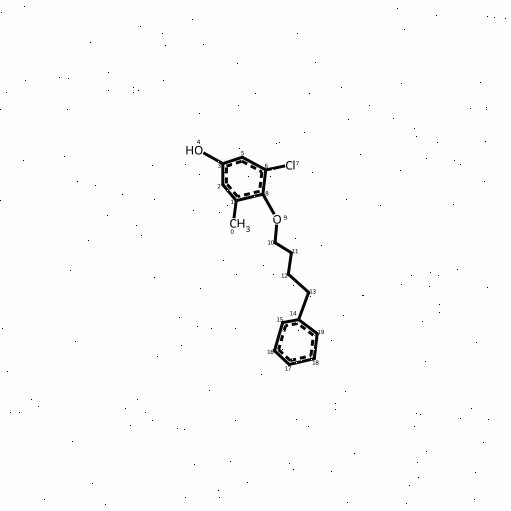 Cc1cc(O)cc(Cl)c1OCCCCc1ccccc1